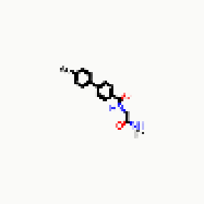 CC(=O)c1ccc(-c2ccc(C(=O)NCC(=O)NC(C)C)cc2)cc1